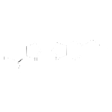 COc1ccc2c(c1)CC(C1=N[C@@H](C(=O)O)CS1)=N2